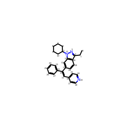 CCc1nn(C2CCCCC2)c2cc(/C(=C\c3ccncc3)c3ccccc3)ccc12